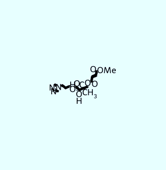 COC(=O)/C=C/C(=O)OCC(C)(C)[C@@H](O)C(=O)OCCCn1cnnc1